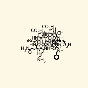 CCCC[C@H](NC(=O)[C@H](CCC(N)=O)NC(=O)[C@H](CCCCN)NC(=O)C(C)(C)NC(=O)[C@H](CCCC)NC(=O)[C@H](CC(=O)O)NCc1ccccc1)C(=O)N[C@@H](CCC(=O)O)C(=O)N[C@@H](CCC(=O)O)C(=O)N[C@@H](CCC(=O)O)C(=O)N[C@@H](C)C(=O)N[C@H](C)C(C)C